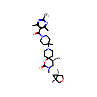 CCCC[C@H]1CN(C[C@@H]2[C@@H]3COC[C@@H]32)C(=O)OC12CCN(C1(C)CCN(C(=O)c3c(C)nc(C(F)(F)F)nc3C)CC1)CC2